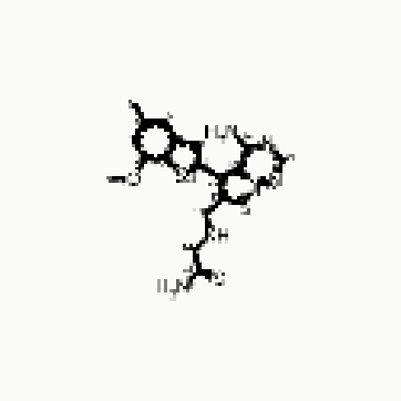 COc1cc(C)cc2cc(-c3c(CNCC(N)=O)cn4ncnc(N)c34)sc12